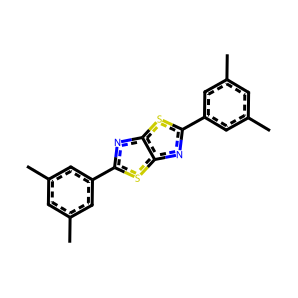 Cc1cc(C)cc(-c2nc3sc(-c4cc(C)cc(C)c4)nc3s2)c1